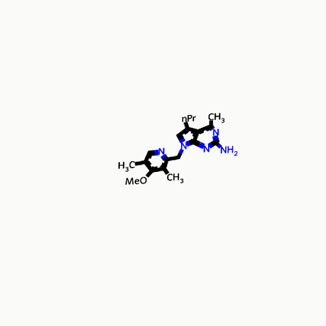 CCCc1cn(Cc2ncc(C)c(OC)c2C)c2nc(N)nc(C)c12